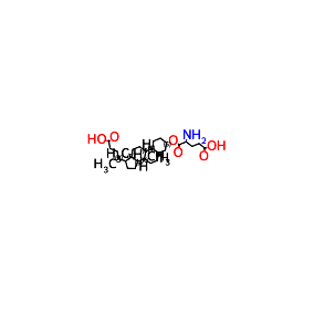 C[C@H](CCC(=O)O)C1CC[C@H]2[C@@H]3CC[C@@H]4C[C@@H](OC(=O)C(N)CCC(=O)O)CC[C@]4(C)[C@H]3CC[C@]12C